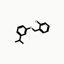 CC(C)c1cccc(OCc2ccccc2Cl)c1